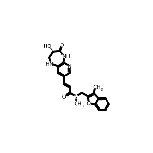 Cc1c(CN(C)C(=O)/C=C/c2cnc3c(c2)NC[C@H](O)C(=O)N3)oc2ccccc12